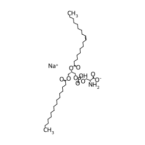 CCCCCCCC/C=C\CCCCCCCC(=O)O[C@H](COC(=O)CCCCCCCCCCCCCCC)COP(=O)(O)OC[C@H](N)C(=O)[O-].[Na+]